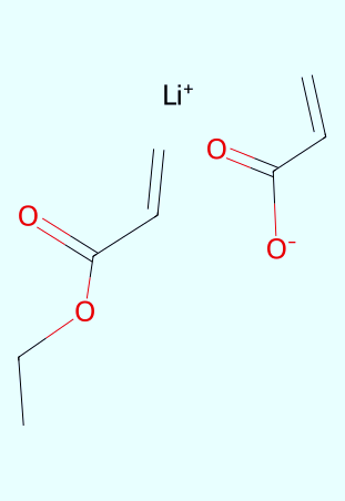 C=CC(=O)OCC.C=CC(=O)[O-].[Li+]